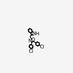 Clc1ccc(-c2nc(Cc3c[nH]c4ccccc34)oc2-c2ccc(Cl)cc2)cc1